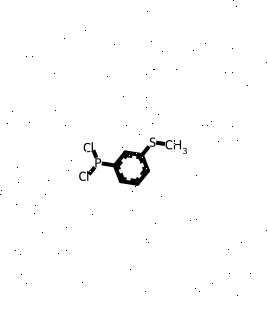 CSc1cccc(P(Cl)Cl)c1